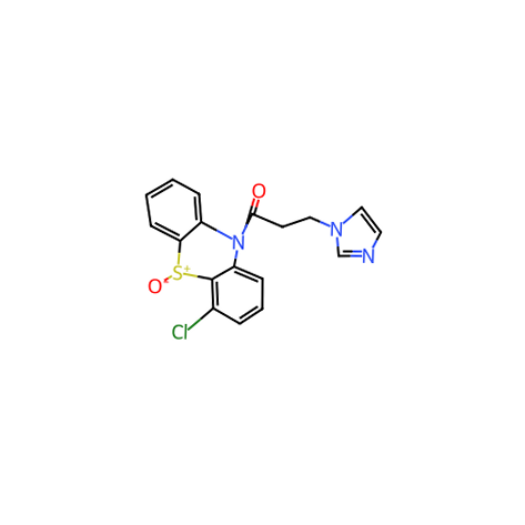 O=C(CCn1ccnc1)N1c2ccccc2[S+]([O-])c2c(Cl)cccc21